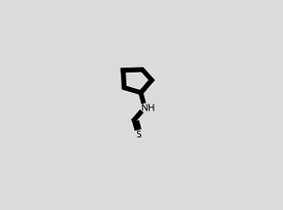 S=[C]NC1CCCC1